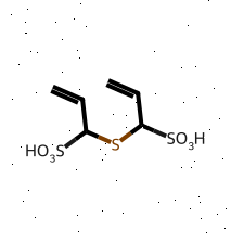 C=CC(SC(C=C)S(=O)(=O)O)S(=O)(=O)O